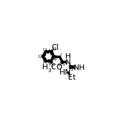 CCNC(=N)NC(=O)Cc1c(C)cccc1Cl